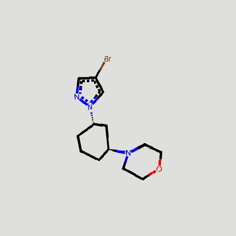 Brc1cnn([C@H]2CCC[C@H](N3CCOCC3)C2)c1